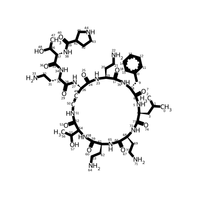 CC(C)C[C@@H]1NC(=O)[C@@H](Cc2ccccc2)NC(=O)[C@H](CCN)NC(=O)[C@@H](NC(=O)[C@H](CCN)NC(=O)[C@@H](NC(=O)C2CCNC2)C(C)O)CCNC(=O)C(C(C)O)NC(=O)[C@H](CCN)NC(=O)[C@H](CCN)NC1=O